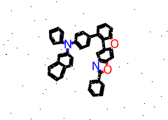 c1ccc(-c2nc3cc4c(cc3o2)oc2cccc(-c3ccc(N(c5ccccc5)c5ccc6ccccc6c5)cc3)c24)cc1